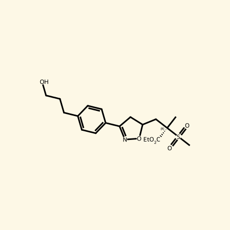 CCOC(=O)[C@@](C)(CC1CC(c2ccc(CCCO)cc2)=NO1)S(C)(=O)=O